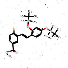 COC(=O)c1ccc(Br)c(C=Cc2ccc(O[Si](C)(C)C(C)(C)C)cc2O[Si](C)(C)C(C)(C)C)c1